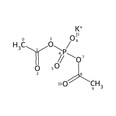 CC(=O)OP(=O)([O-])OC(C)=O.[K+]